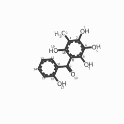 Cc1c(O)c(O)c(O)c(C(=O)c2ccccc2O)c1O